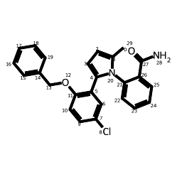 Cc1ccc(-c2cc(Cl)ccc2OCc2ccccc2)n1-c1ccccc1C(N)=O